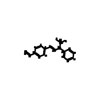 C[SiH](C)N(N=Cc1ccc(C=O)cc1)c1ccccc1